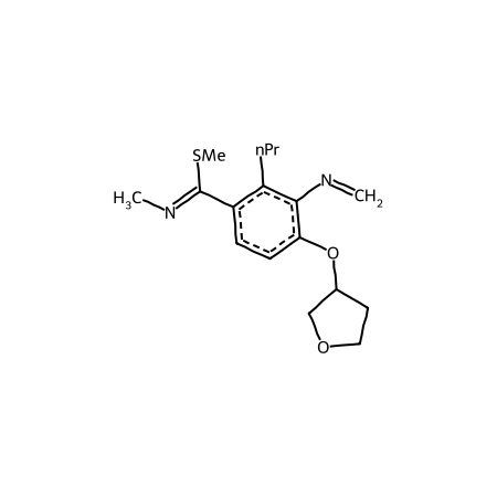 C=Nc1c(OC2CCOC2)ccc(/C(=N/C)SC)c1CCC